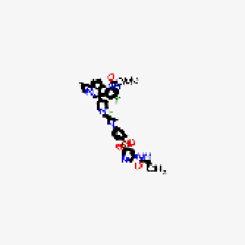 C=CC(=O)Nc1cncc(S(=O)(=O)c2ccc(N3CC(F)(CN4CCC([C@@](CN5CCC5)(c5cccc(F)c5)[C@H]5CCC[C@@H]5NC(=O)OC)CC4)C3)cc2)c1